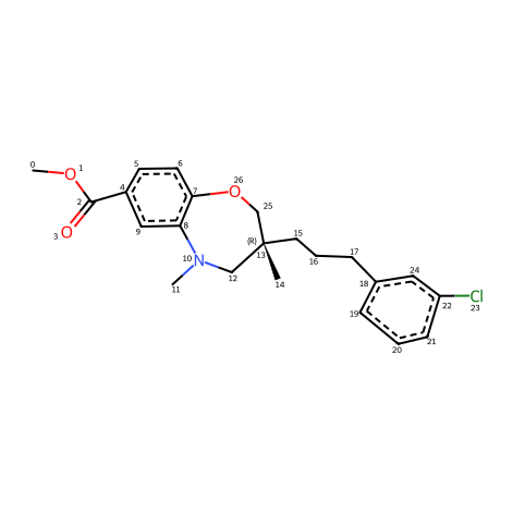 COC(=O)c1ccc2c(c1)N(C)C[C@@](C)(CCCc1cccc(Cl)c1)CO2